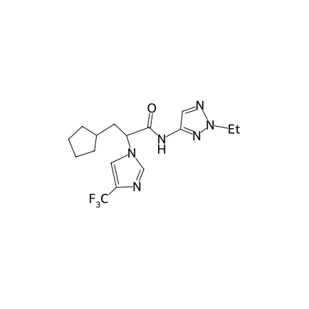 CCn1ncc(NC(=O)C(CC2CCCC2)n2cnc(C(F)(F)F)c2)n1